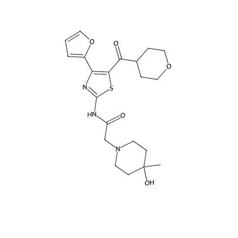 CC1(O)CCN(CC(=O)Nc2nc(-c3ccco3)c(C(=O)C3CCOCC3)s2)CC1